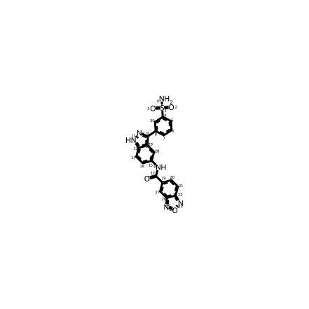 NS(=O)(=O)c1cccc(-c2n[nH]c3ccc(NC(=O)c4ccc5nonc5c4)cc23)c1